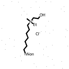 CCCCCCCCCCCCCCCC[N+](C)(CC)CCO.[Cl-]